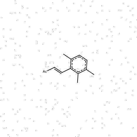 CC(=O)/C=C/c1c(C)ccc(C)c1C